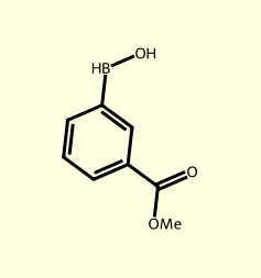 COC(=O)c1cccc(BO)c1